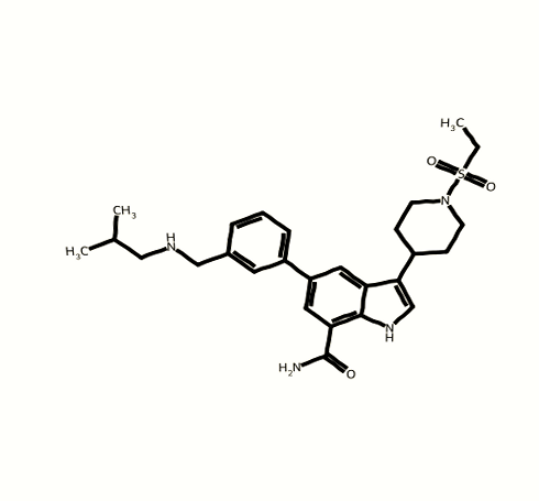 CCS(=O)(=O)N1CCC(c2c[nH]c3c(C(N)=O)cc(-c4cccc(CNCC(C)C)c4)cc23)CC1